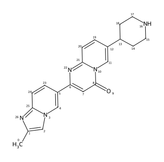 Cc1cn2cc(-c3cc(=O)n4cc(C5CCNCC5)ccc4n3)ccc2n1